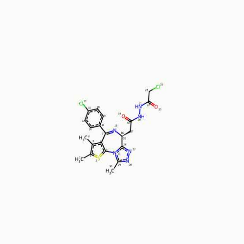 Cc1sc2c(c1C)C(c1ccc(Cl)cc1)=N[C@@H](CC(=O)NNC(=O)CCl)c1nnc(C)n1-2